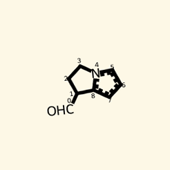 O=CC1CCn2cccc21